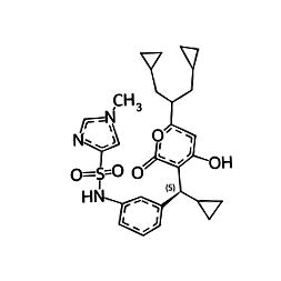 Cn1cnc(S(=O)(=O)Nc2cccc([C@@H](c3c(O)cc(C(CC4CC4)CC4CC4)oc3=O)C3CC3)c2)c1